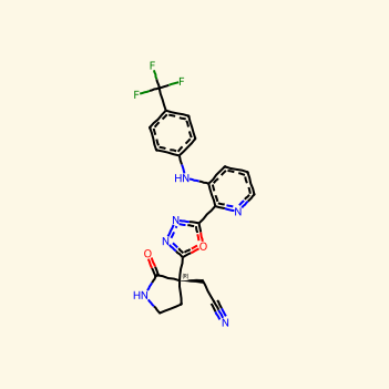 N#CC[C@@]1(c2nnc(-c3ncccc3Nc3ccc(C(F)(F)F)cc3)o2)CCNC1=O